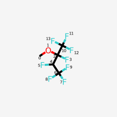 COC(F)(C(F)C(F)(F)F)C(F)(F)F